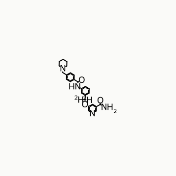 [2H]C([2H])(Oc1cncc(C(N)=O)c1)c1cccc(NC(=O)c2ccc(CN3CCCCC3)cc2)c1